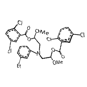 CCc1cccc(N(CC(OC)OC(=O)c2cc(Cl)ccc2Cl)CC(OC)OC(=O)c2cc(Cl)ccc2Cl)c1